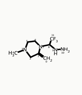 C=C1CN(C)CCN1C(NN)C(F)(F)F